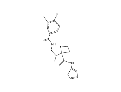 C=C(NCC(C)C1(C(=C)NC2=CC=CC2)CCC1)c1ccc(F)c(C)c1